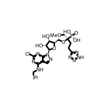 COC[C@](CCc1nn[nH]n1)(OC[C@H]1O[C@@H](n2ncc3c(NCC(C)C)nc(Cl)nc32)[C@H](O)[C@@H]1O)P(=O)(O)O